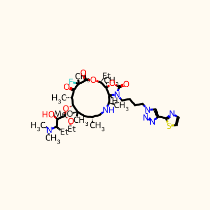 CCO[C@@H](O[C@@H]1[C@H](C)C(=O)C(C)(F)C(=O)O[C@H](CC)[C@@]2(C)OC(=O)N(CCCCn3cc(-c4nccs4)nn3)[C@@H]2[C@@H](C)NC[C@H](C)C[C@@]1(C)OC)C(O)C(CC)N(C)C